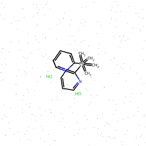 Cl.Cl.[CH2]=[Pt](=[CH2])(=[CH2])(=[CH2])([c]1ccccn1)[c]1ccccn1